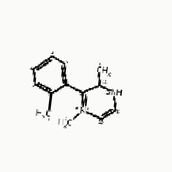 Cc1ccccc1C1=[N+](C)C=CNC1C